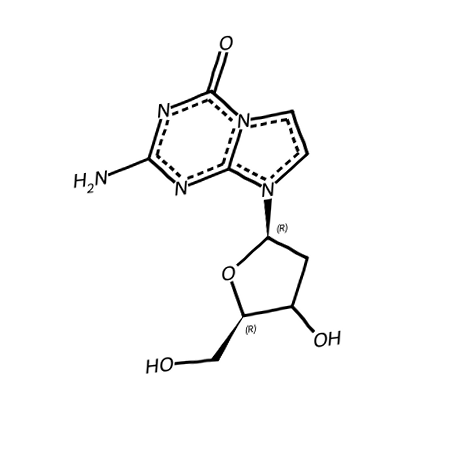 Nc1nc(=O)n2ccn([C@H]3CC(O)[C@@H](CO)O3)c2n1